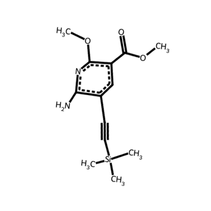 COC(=O)c1cc(C#C[Si](C)(C)C)c(N)nc1OC